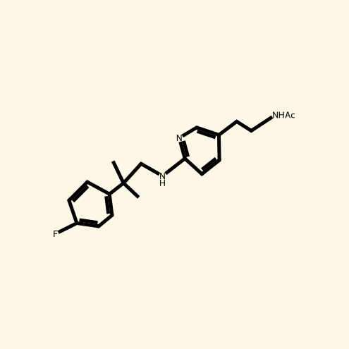 CC(=O)NCCc1ccc(NCC(C)(C)c2ccc(F)cc2)nc1